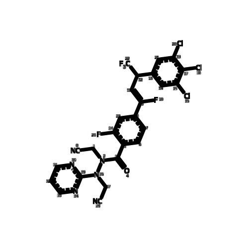 N#CCN(C(=O)c1ccc(/C(F)=C/C(c2cc(Cl)c(Cl)c(Cl)c2)C(F)(F)F)cc1F)N(CC#N)c1ncccn1